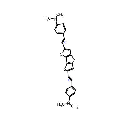 CN(C)c1ccc(/C=C/c2cc3sc4cc(/C=C/c5ccc(N(C)C)cc5)sc4c3s2)cc1